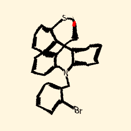 Brc1ccccc1CN1c2ccccc2C2(c3ccccc3Sc3ccccc32)c2ccccc21